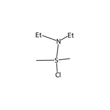 CCN(CC)S(C)(C)Cl